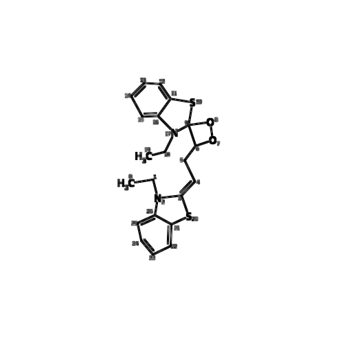 CCN1/C(=C\CC2OOC23Sc2ccccc2N3CC)Sc2ccccc21